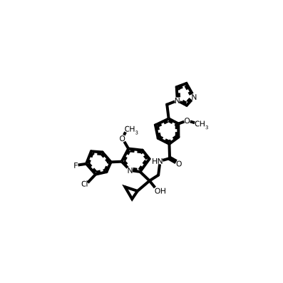 COc1cc(C(=O)NCC(O)(c2ccc(OC)c(-c3ccc(F)c(Cl)c3)n2)C2CC2)ccc1Cn1ccnc1